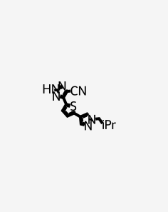 CC(C)Cn1cc(-c2ccc(-c3n[nH]nc3C#N)s2)cn1